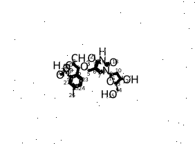 CC(C)[C@H](OCc1cn([C@H]2CC(O)[C@@H](CO)O2)c(=O)[nH]c1=O)c1ccc(I)cc1[N+](=O)[O-]